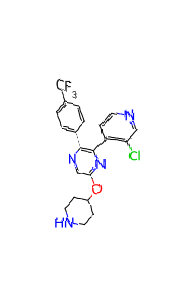 FC(F)(F)c1ccc(-c2ncc(OC3CCNCC3)nc2-c2ccncc2Cl)cc1